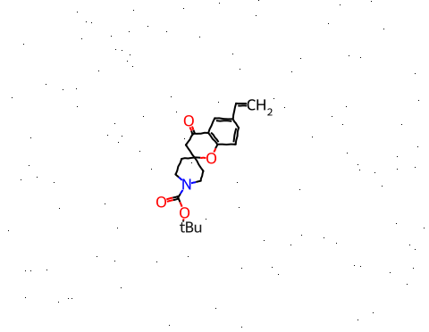 C=Cc1ccc2c(c1)C(=O)CC1(CCN(C(=O)OC(C)(C)C)CC1)O2